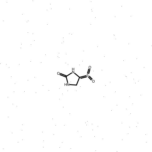 O=C1NCC(=S(=O)=O)N1